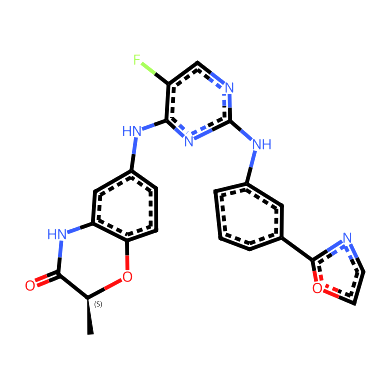 C[C@@H]1Oc2ccc(Nc3nc(Nc4cccc(-c5ncco5)c4)ncc3F)cc2NC1=O